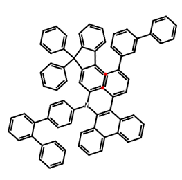 c1ccc(-c2cccc(-c3ccc(-c4c(N(c5ccc(-c6ccccc6-c6ccccc6)cc5)c5ccc6c(c5)C(c5ccccc5)(c5ccccc5)c5ccccc5-6)c5ccccc5c5ccccc45)cc3)c2)cc1